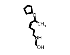 CC(/C=C\CCNCO)OC1CCCC1